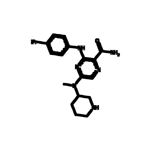 CC(C)c1ccc(Nc2nc(N(C)C3CCCNC3)cnc2C(N)=O)cc1